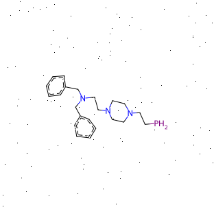 PCCN1CCN(CCN(Cc2ccccc2)Cc2ccccc2)CC1